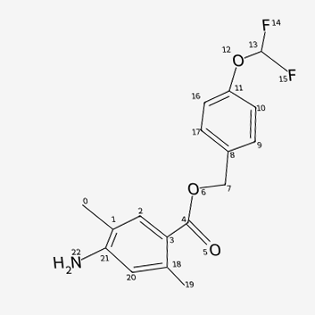 Cc1cc(C(=O)OCc2ccc(OC(F)F)cc2)c(C)cc1N